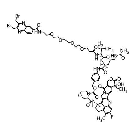 CC[C@@]1(O)C(=O)OCc2c1cc1n(c2=O)Cc2c-1nc1cc(F)c(C)c3c1c2[C@@H](NC(=O)C1COCCN1C(=O)OCc1ccc(NC(=O)[C@H](CCCNC(N)=O)NC(=O)[C@@H](NC(=O)CCOCCOCCOCCOCCNC(=O)c2ccc4nc(CBr)c(CBr)nc4c2)C(C)C)cc1)CC3